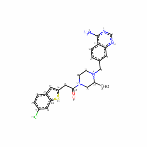 Nc1ncnc2cc(CN3CCN(C(=O)Cc4cc5ccc(Cl)cc5s4)CC3C=O)ccc12